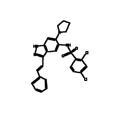 O=S(=O)(Nc1cc2c(C=Cc3ccccc3)n[nH]c2cc1N1CCCC1)c1ccc(Cl)cc1Cl